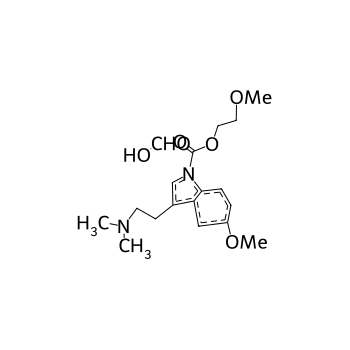 COCCOC(=O)n1cc(CCN(C)C)c2cc(OC)ccc21.O=CO